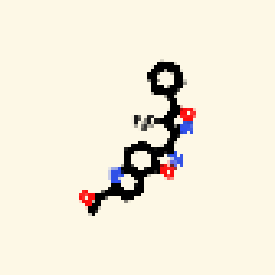 FC(F)(F)c1c(-c2noc3c2CCc2nc(C4CO4)ccc2-3)noc1-c1ccccc1